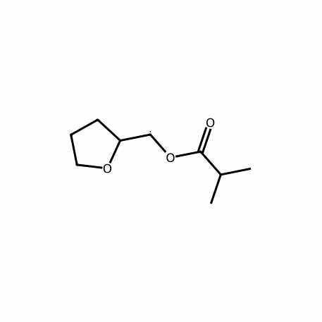 CC(C)C(=O)O[CH]C1CCCO1